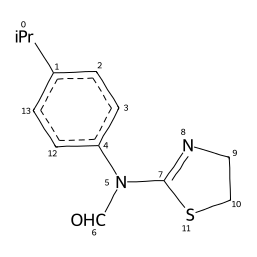 CC(C)c1ccc(N(C=O)C2=NCCS2)cc1